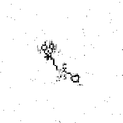 CC(C)(C)OC(=O)NCCCCN1C(=O)S/C(=C\c2ccc(F)cc2)C1=O